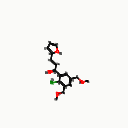 COCc1cc(COC)c(Br)c(C(=O)/C=C/c2ccco2)c1